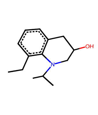 CCc1cccc2c1N(C(C)C)CC(O)C2